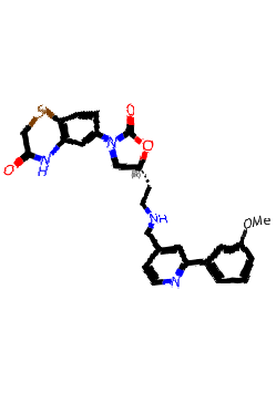 COc1cccc(-c2cc(CNCC[C@@H]3CN(c4ccc5c(c4)NC(=O)CS5)C(=O)O3)ccn2)c1